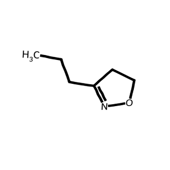 CCCC1=NOCC1